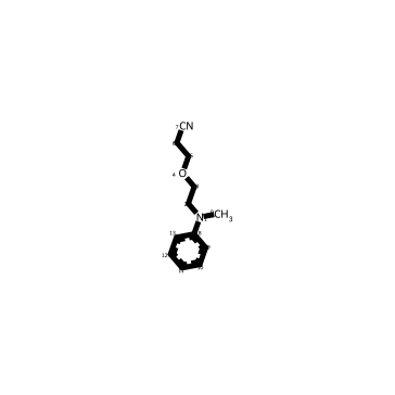 CN(CCOCCC#N)c1ccccc1